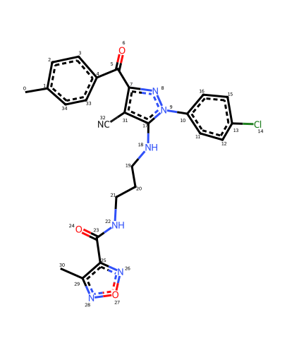 Cc1ccc(C(=O)c2nn(-c3ccc(Cl)cc3)c(NCCCNC(=O)c3nonc3C)c2C#N)cc1